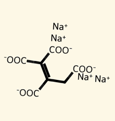 O=C([O-])CC(C(=O)[O-])=C(C(=O)[O-])C(=O)[O-].[Na+].[Na+].[Na+].[Na+]